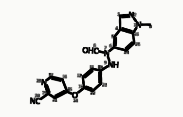 Cn1ncc2cc(N(C=O)Nc3ccc(Oc4ccnc(C#N)c4)cc3)ccc21